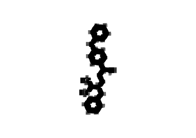 CC(C)N(CCC(O)c1ccc(Oc2ccccc2)cc1)Cc1ccccc1